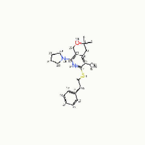 CC1(C)Cc2c(C#N)c(SCCc3ccccc3)nc(N3CCCC3)c2CO1